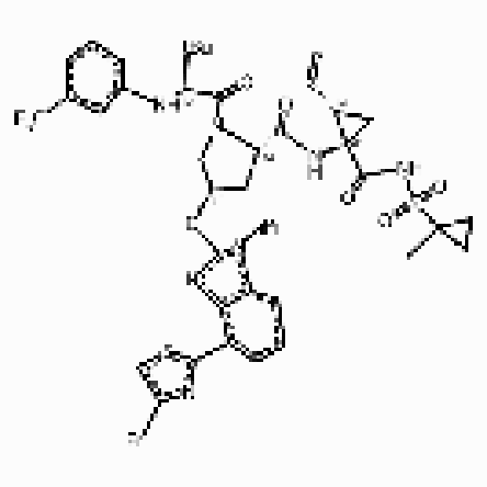 C=C[C@@H]1C[C@]1(NC(=O)[C@@H]1C[C@@H](Oc2nc3c(-c4nc(C(C)C)cs4)cccc3n2C(C)C)CN1C(=O)[C@@H](Nc1cccc(C(F)(F)F)c1)C(C)(C)C)C(=O)NS(=O)(=O)C1(C)CC1